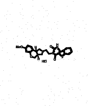 COc1ccc2c(c1)OC[C@H]1CN(CCn3c(=O)[nH]c4c(sc5ccccc54)c3=O)C[C@@H]21.Cl